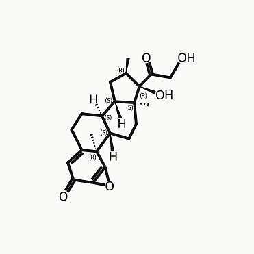 C[C@@H]1C[C@H]2[C@@H]3CCC4=CC(=O)C5=C(O5)[C@]4(C)[C@H]3CC[C@]2(C)[C@@]1(O)C(=O)CO